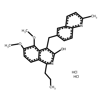 CCCc1nc(O)c(Cc2ccc3nc(C)ccc3c2)c2c(OC)c(OC)ccc12.Cl.Cl